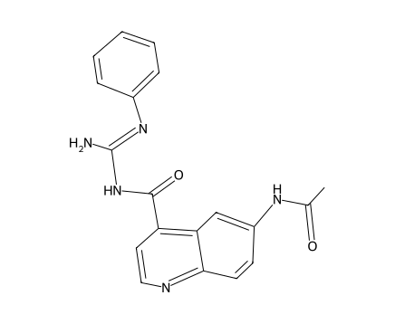 CC(=O)Nc1ccc2nccc(C(=O)NC(N)=Nc3ccccc3)c2c1